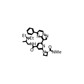 CCN(CC)C(C)CNC(=O)c1cc(-c2cnn3ccc(-c4ccccc4)nc23)nc(N2CC[C@H]2C(=O)NC)c1